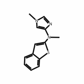 CN(c1cn(C)cn1)c1cc2ccccc2s1